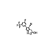 N#Cc1c(-c2cc(F)cc(C(F)(F)F)c2)c[nH]c1CC(=O)O